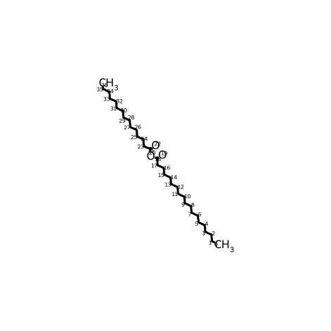 CCCCCCCCCCCCCCCCCCC(=O)OC(=O)CCCCCCCCCCCCCC